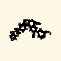 COc1cc(-c2cccc(C(F)(F)F)c2)c(Cl)cc1-n1c(=O)ccc2cc(S(=O)(=O)Nc3ccon3)ccc21